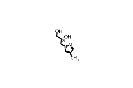 Cc1cnn(C[C@@H](O)CO)c1